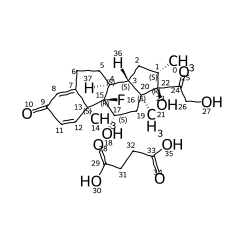 C[C@H]1C[C@H]2[C@@H]3CCC4=CC(=O)C=C[C@]4(C)[C@@]3(F)[C@@H](O)C[C@]2(C)[C@@]1(O)C(=O)CO.O=C(O)CCC(=O)O